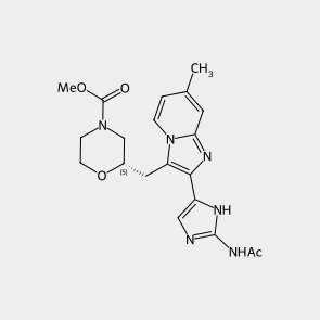 COC(=O)N1CCO[C@@H](Cc2c(-c3cnc(NC(C)=O)[nH]3)nc3cc(C)ccn23)C1